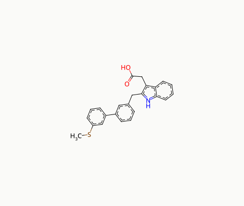 CSc1cccc(-c2cccc(Cc3[nH]c4ccccc4c3CC(=O)O)c2)c1